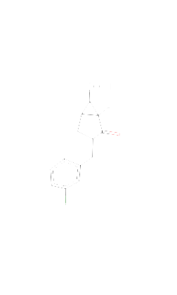 CCC12C(=O)C(Cc3cccc(Cl)c3)CC1C2C(=O)O